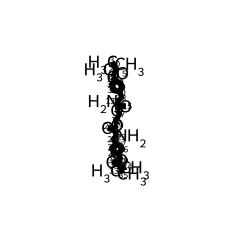 CC(C)(C)C(=O)Oc1ccc(CC(N)C(=O)OCCOC(=O)C(N)Cc2ccc(OC(=O)C(C)(C)C)cc2)cc1